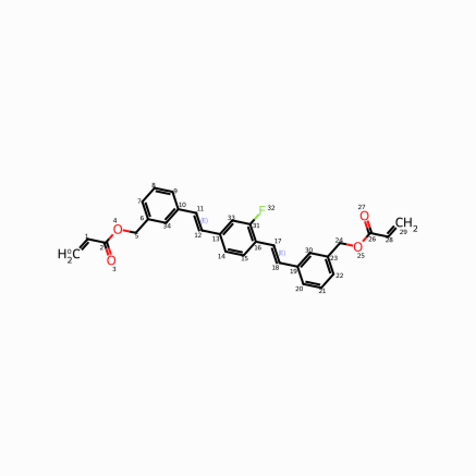 C=CC(=O)OCc1cccc(/C=C/c2ccc(/C=C/c3cccc(COC(=O)C=C)c3)c(F)c2)c1